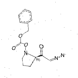 [N-]=[N+]=CC(=O)[C@H]1CCCN1OC(=O)OCc1ccccc1